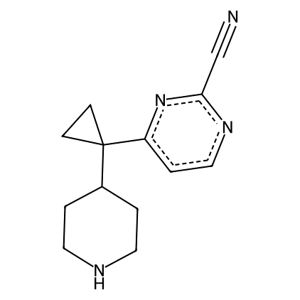 N#Cc1nccc(C2(C3CCNCC3)CC2)n1